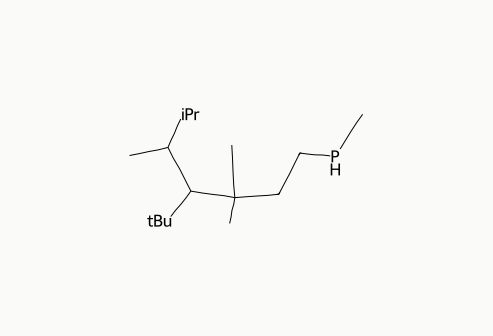 CPCCC(C)(C)C(C(C)C(C)C)C(C)(C)C